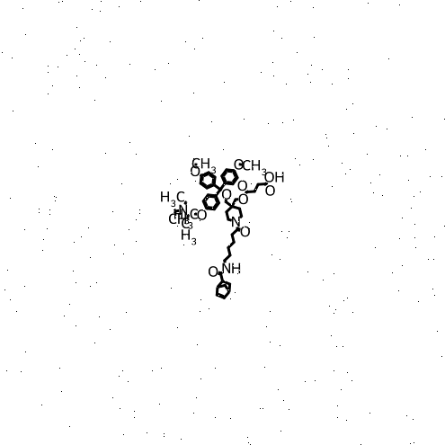 CCN(CC)CC.COc1ccc(C(OCC2(COC(=O)CCC(=O)O)CCN(C(=O)CCCCCNC(=O)C3CC4C=CC3C4)CC2)(c2ccc(OC)cc2)c2ccc(OC)cc2)cc1